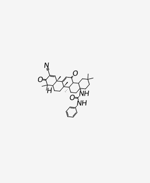 CC1(C)CC[C@]2(NC(=O)Nc3ccccc3)CC[C@]3(C)C(C(=O)C=C4[C@@]5(C)C=C(C#N)C(=O)C(C)(C)[C@@H]5CC[C@]43C)C2C1